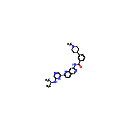 CC(C)Nc1cncc(-c2ccc3cnc(NC(=O)c4cccc(C5CCN(C)CC5)c4)cc3n2)n1